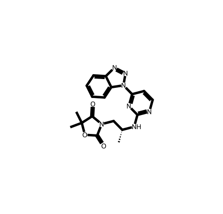 C[C@H](CN1C(=O)OC(C)(C)C1=O)Nc1nccc(-n2nnc3ccccc32)n1